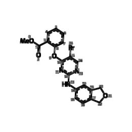 COC(=O)c1ccccc1Oc1nc(Nc2ccc3c(c2)COC3)ncc1Br